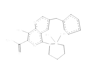 COC(=O)c1nc(N2CCCCS2(O)O)c2cc(Cc3ccccc3)cnc2c1O